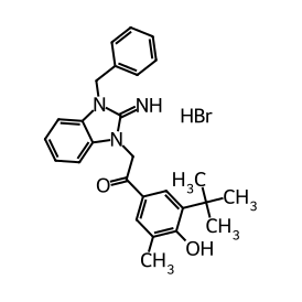 Br.Cc1cc(C(=O)Cn2c(=N)n(Cc3ccccc3)c3ccccc32)cc(C(C)(C)C)c1O